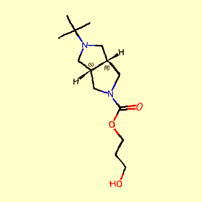 CC(C)(C)N1C[C@H]2CN(C(=O)OCCCO)C[C@H]2C1